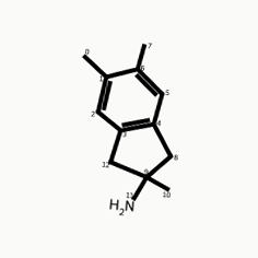 Cc1cc2c(cc1C)CC(C)(N)C2